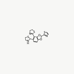 c1csc([C]2Oc3ccc(C4NCCS4)c(C4=NCCS4)c3O2)n1